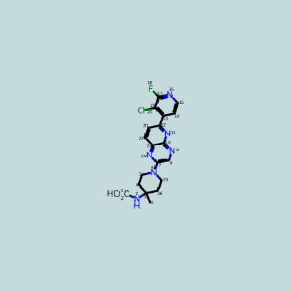 CC1(NC(=O)O)CCN(c2cnc3nc(-c4ccnc(F)c4Cl)ccc3n2)CC1